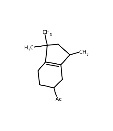 CC(=O)C1CCC2=C(C1)C(C)CC2(C)C